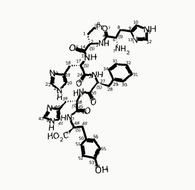 CC(C)C[C@H](NC(=O)[C@@H](N)Cc1c[nH]cn1)C(=O)N[C@@H](Cc1c[nH]cn1)C(=O)N[C@@H](Cc1ccccc1)C(=O)N[C@@H](Cc1c[nH]cn1)C(=O)N[C@@H](Cc1ccc(O)cc1)C(=O)O